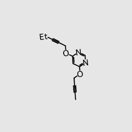 CC#CCOc1cc(OCC#CCC)ncn1